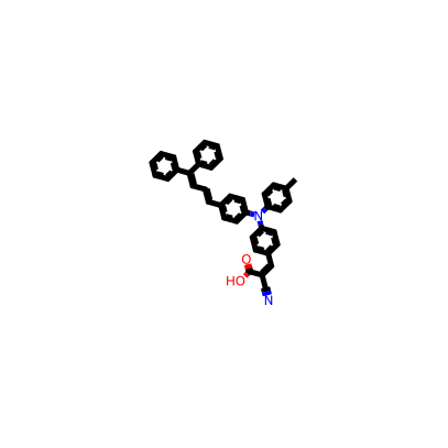 Cc1ccc(N(c2ccc(C=CC=C(c3ccccc3)c3ccccc3)cc2)c2ccc(/C=C(/C#N)C(=O)O)cc2)cc1